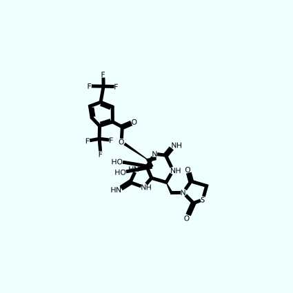 N=C1NC2[C@H](CN3C(=O)CSC3=O)NC(=N)N3C[C@H](OC(=O)c4cc(C(F)(F)F)ccc4C(F)(F)F)C(O)(O)[C@]23N1